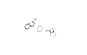 O=C(N[C@H]1CC[C@@H](Nc2cc(C(F)(F)F)nc3ccc(Cl)cc23)CC1)c1n[nH]c2c1COCC2